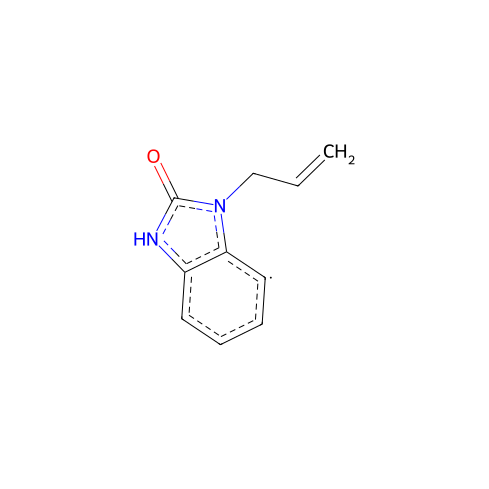 C=CCn1c(=O)[nH]c2ccc[c]c21